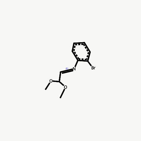 COC(/C=N/c1ccccc1Br)OC